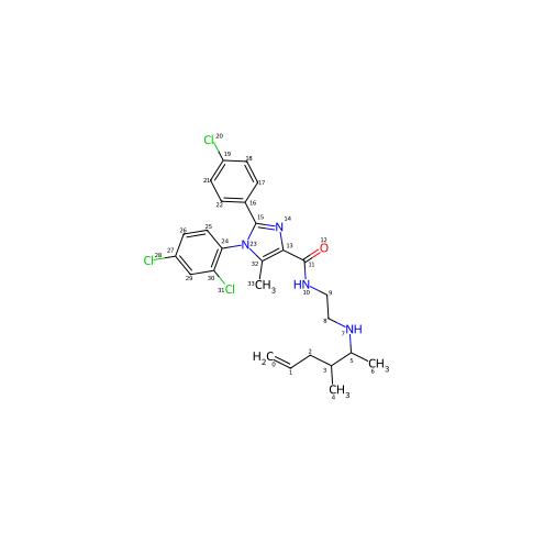 C=CCC(C)C(C)NCCNC(=O)c1nc(-c2ccc(Cl)cc2)n(-c2ccc(Cl)cc2Cl)c1C